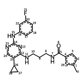 Cc1ccc(C(=O)NCCCNc2nc(Nc3cccc(F)c3)ncc2C2CC2)s1